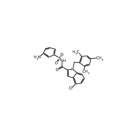 Cc1cc(C)c(Cn2c(C(=O)NS(=O)(=O)c3cccc(N)c3)cc3c(Cl)cccc32)c(C)c1